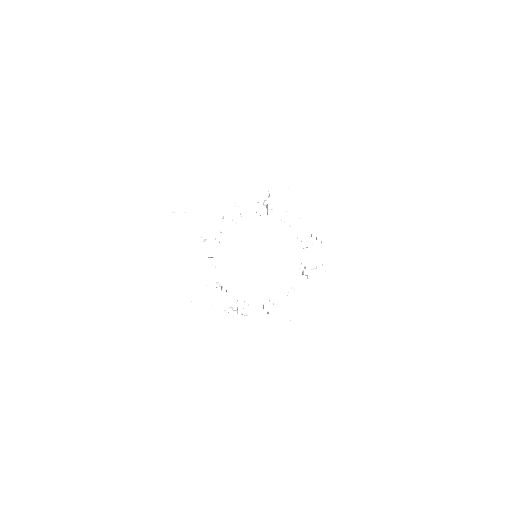 C/C=C/C[C@@H](C)[C@@H](O)[C@H]1C(=O)N[C@@H](CC)C(=O)N(C)[C@H](CSCCCCOC)C(=O)N(C)[C@@H](CC(C)(C)OC)C(=O)N[C@@H](C(C)C)C(=O)N(C)[C@@H](CC(C)C)C(=O)N[C@@H](C)C(=O)N[C@H](C)C(=O)N(C)[C@@H](CC(C)C)C(=O)N(C)[C@@H](CC(C)C)C(=O)N(C)[C@@H](C(C)C)C(=O)N1C